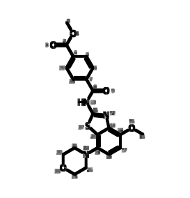 COC(=O)c1ccc(C(=O)Nc2nc3c(OC)ccc(N4CCOCC4)c3s2)cc1